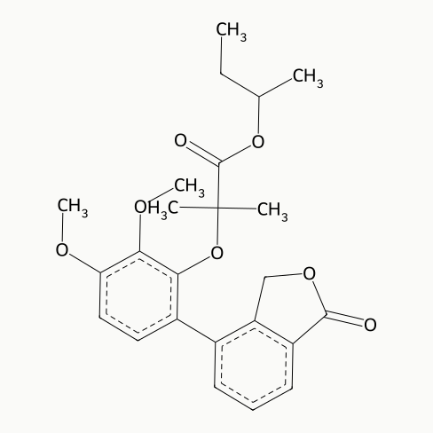 CCC(C)OC(=O)C(C)(C)Oc1c(-c2cccc3c2COC3=O)ccc(OC)c1OC